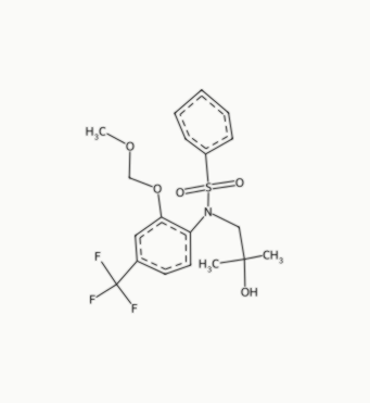 COCOc1cc(C(F)(F)F)ccc1N(CC(C)(C)O)S(=O)(=O)c1ccccc1